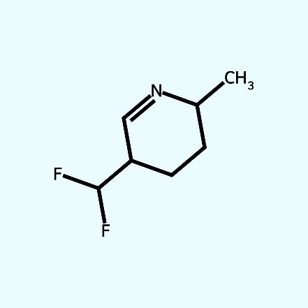 CC1CCC(C(F)F)C=N1